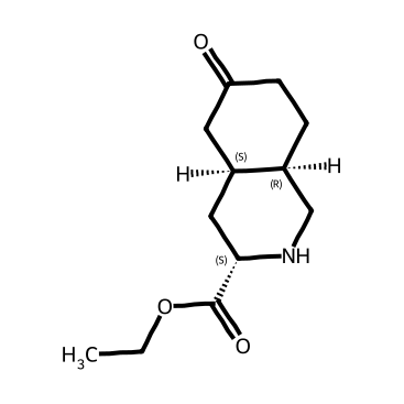 CCOC(=O)[C@@H]1C[C@H]2CC(=O)CC[C@H]2CN1